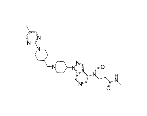 CNC(=O)CCN(C=O)c1cncc2c1cnn2C1CCN(CC2CCN(c3ncc(C)cn3)CC2)CC1